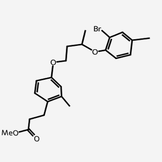 COC(=O)CCc1ccc(OCCC(C)Oc2ccc(C)cc2Br)cc1C